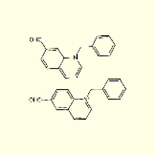 O=CC1=CC2C(=CC=CN2Cc2ccccc2)C=C1.O=Cc1ccc2c(ccc[n+]2Cc2ccccc2)c1